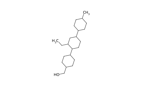 CCC1CC(C2CCC(C)CC2)CCC1C1CCC(CO)CC1